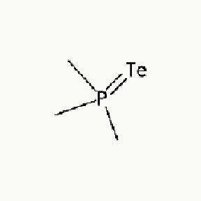 CP(C)(C)=[Te]